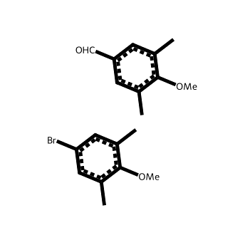 COc1c(C)cc(Br)cc1C.COc1c(C)cc(C=O)cc1C